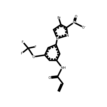 C=CC(=O)Nc1cc(OC(F)(F)F)cc(-n2cc(Br)c([N+](=O)[O-])n2)c1